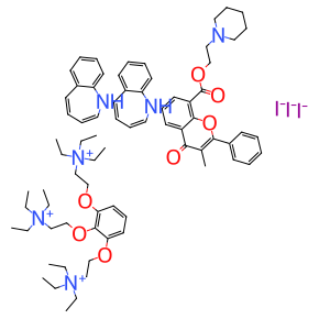 C1=CNc2ccccc2C=C1.C1=CNc2ccccc2C=C1.CC[N+](CC)(CC)CCOc1cccc(OCC[N+](CC)(CC)CC)c1OCC[N+](CC)(CC)CC.Cc1c(-c2ccccc2)oc2c(C(=O)OCCN3CCCCC3)cccc2c1=O.[I-].[I-].[I-]